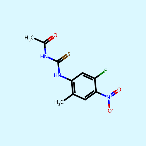 CC(=O)NC(=S)Nc1cc(F)c([N+](=O)[O-])cc1C